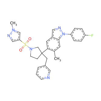 Cc1cc2c(cnn2-c2ccc(F)cc2)cc1C1(Cc2cccnc2)CCN(S(=O)(=O)c2cnn(C)c2)C1